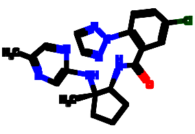 Cc1cnc(N[C@@]2(C)CCC[C@@H]2NC(=O)c2cc(Cl)ccc2-n2nccn2)cn1